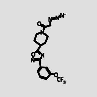 [N-]=[N+]=NCC(=O)N1CCC(c2nc(-c3cccc(OC(F)(F)F)c3)no2)CC1